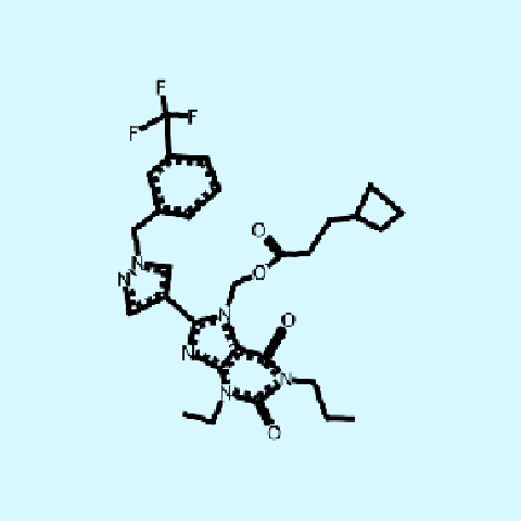 CCCn1c(=O)c2c(nc(-c3cnn(Cc4cccc(C(F)(F)F)c4)c3)n2COC(=O)CCC2CCC2)n(CC)c1=O